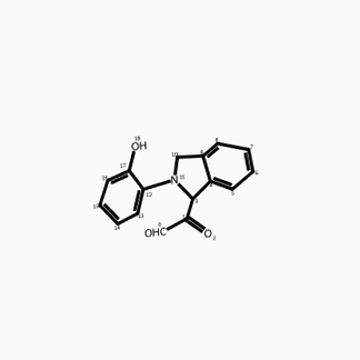 O=CC(=O)C1c2ccccc2CN1c1ccccc1O